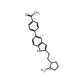 CC(=O)c1ccc(-c2ccc3[nH]c(CCN4CCC[C@H]4C)cc3c2)cc1